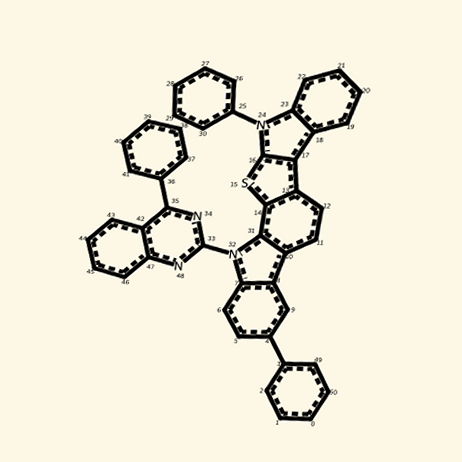 c1ccc(-c2ccc3c(c2)c2ccc4c(sc5c4c4ccccc4n5-c4ccccc4)c2n3-c2nc(-c3ccccc3)c3ccccc3n2)cc1